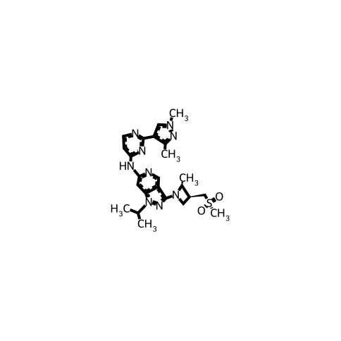 Cc1nn(C)cc1-c1nccc(Nc2cc3c(cn2)c(N2C[C@H](CS(C)(=O)=O)[C@H]2C)nn3C(C)C)n1